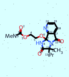 CNC(=O)OCCOC12NC(=O)C(C)(C(C)C)N1C(=O)c1cccnc12